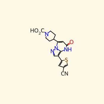 N#Cc1csc(-c2cnn3c(C4CCN(C(=O)O)CC4)cc(=O)[nH]c23)c1